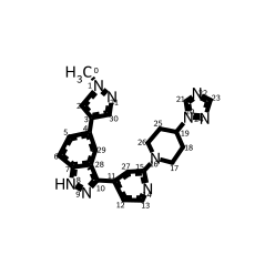 Cn1cc(-c2ccc3[nH]nc(-c4ccnc(N5CCC(n6cncn6)CC5)c4)c3c2)cn1